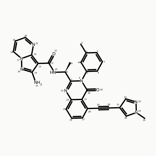 Cc1cccc(-n2c([C@H](C)NC(=O)c3c(N)nn4cccnc34)nc3cccc(C#Cc4cnn(C)c4)c3c2=O)c1